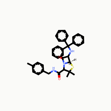 Cc1ccc(CNC(=O)C2N3C(=O)C(NC(c4ccccc4)(c4ccccc4)c4ccccc4)[C@H]3SC2(C)C)cc1